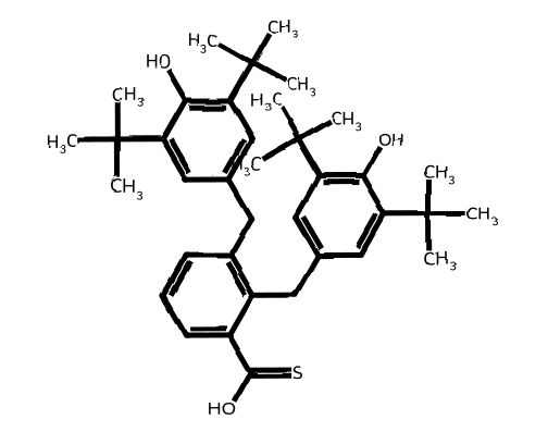 CC(C)(C)c1cc(Cc2cccc(C(O)=S)c2Cc2cc(C(C)(C)C)c(O)c(C(C)(C)C)c2)cc(C(C)(C)C)c1O